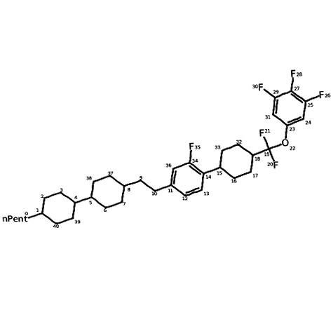 CCCCCC1CCC(C2CCC(CCc3ccc(C4CCC(C(F)(F)Oc5cc(F)c(F)c(F)c5)CC4)c(F)c3)CC2)CC1